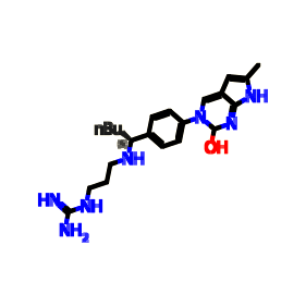 CCCC[C@H](NCCCNC(=N)N)c1ccc(N2C=c3cc(C)[nH]c3=NC2O)cc1